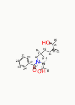 CC(O)[C@@H](C)N(CC(C)(C)CC[C@H](C)C(C)O)C(=O)c1ccccc1